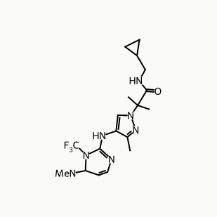 CNC1C=CN=C(Nc2cn(C(C)(C)C(=O)NCC3CC3)nc2C)N1C(F)(F)F